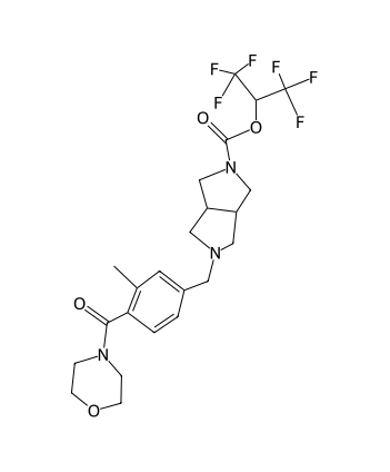 Cc1cc(CN2CC3CN(C(=O)OC(C(F)(F)F)C(F)(F)F)CC3C2)ccc1C(=O)N1CCOCC1